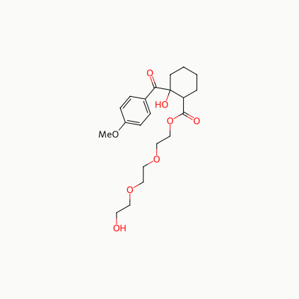 COc1ccc(C(=O)C2(O)CCCCC2C(=O)OCCOCCOCCO)cc1